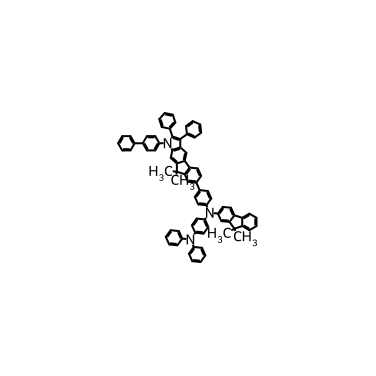 CC1(C)c2ccccc2-c2ccc(N(c3ccc(-c4ccc5c(c4)C(C)(C)c4cc6c(cc4-5)c(-c4ccccc4)c(-c4ccccc4)n6-c4ccc(-c5ccccc5)cc4)cc3)c3ccc(N(c4ccccc4)c4ccccc4)cc3)cc21